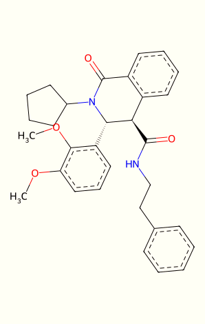 COc1cccc([C@H]2[C@H](C(=O)NCCc3ccccc3)c3ccccc3C(=O)N2C2CCCC2)c1OC